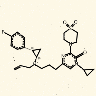 C=CCN(CCCc1cn(C2CC2)c(=O)c(N2CCS(=O)(=O)CC2)n1)[C@@H]1C[C@H]1c1ccc(F)cc1